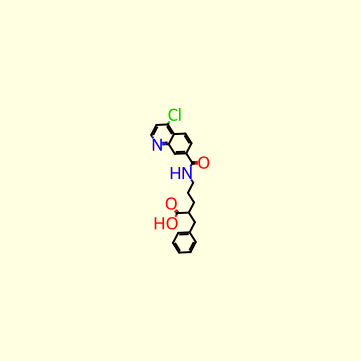 O=C(NCCCC(Cc1ccccc1)C(=O)O)c1ccc2c(Cl)ccnc2c1